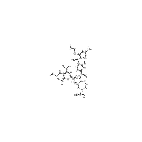 COCOc1cc(OC)cc(F)c1C(=O)c1ccc(C(=O)O[C@@H]2CCCN(C(=O)O)C[C@H]2NC(=O)c2cc(C(C)C)c(OCOC)c(C(C)C)c2)cc1